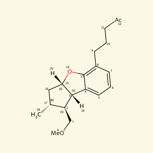 COC[C@@H]1[C@H]2c3cccc(CCCC(C)=O)c3O[C@H]2C[C@H]1C